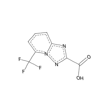 O=C(O)c1nc2cccc(C(F)(F)F)n2n1